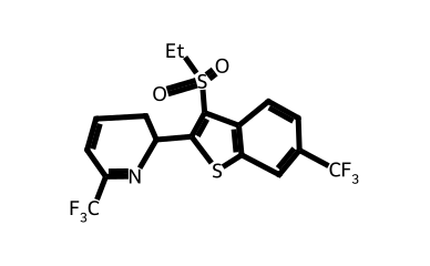 CCS(=O)(=O)c1c(C2CC=CC(C(F)(F)F)=N2)sc2cc(C(F)(F)F)ccc12